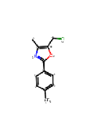 Cc1nc(-c2ccc(C(F)(F)F)cc2)oc1CCl